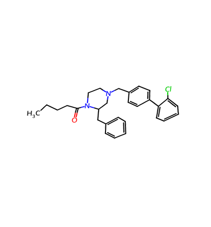 CCCCC(=O)N1CCN(Cc2ccc(-c3ccccc3Cl)cc2)CC1Cc1ccccc1